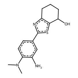 CN(C)c1ccc(-c2nc3c(s2)C(O)CCC3)cc1N